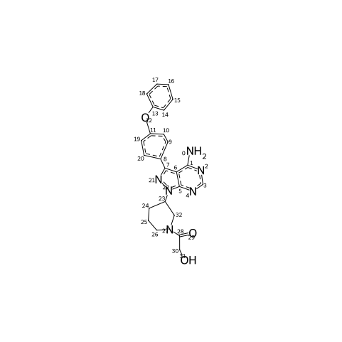 Nc1ncnc2c1c(-c1ccc(Oc3ccccc3)cc1)nn2C1CCCN(C(=O)CO)C1